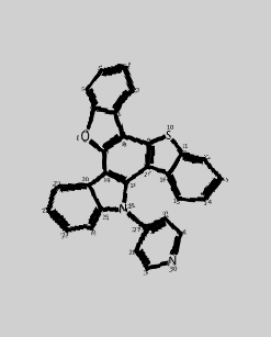 c1ccc2c(c1)oc1c2c2sc3ccccc3c2c2c1c1ccccc1n2-c1ccncc1